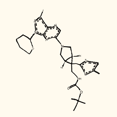 Cc1csc(C2(CNC(=O)OC(C)(C)C)[C@@H]3CN(c4cnc5c(I)nn(C6CCCCO6)c5n4)C[C@@H]32)n1